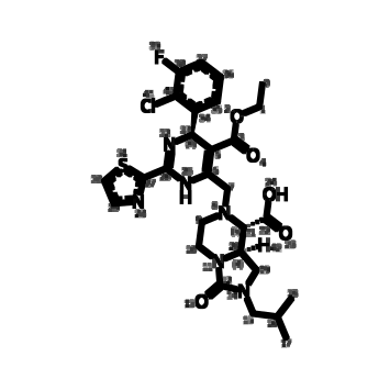 CCOC(=O)C1=C(CN2CCN3C(=O)N(CC(C)C)C[C@@H]3[C@H]2C(=O)O)NC(c2nccs2)=N[C@H]1c1cccc(F)c1Cl